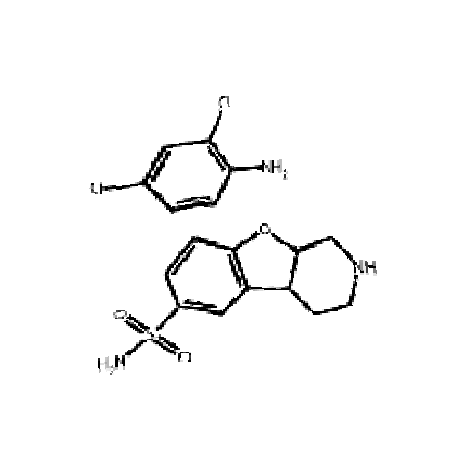 NS(=O)(=O)c1ccc2c(c1)C1CCNCC1O2.Nc1ccc(Cl)cc1Cl